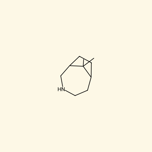 CC1(C)C2CCNCC1CC2